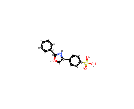 O=S(=O)(O)c1ccc(-c2coc(-c3ccccc3)n2)cc1